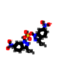 Cc1nn(OS(=O)(=O)On2nc(C)c3ccc([N+](=O)[O-])cc32)c2cc([N+](=O)[O-])ccc12